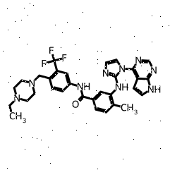 CCN1CCN(Cc2ccc(NC(=O)c3ccc(C)c(Nc4nccn4-c4ncnc5[nH]ccc45)c3)cc2C(F)(F)F)CC1